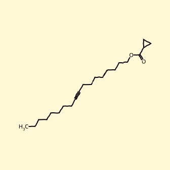 CCCCCCCCC#CCCCCCCCCOC(=O)C1CC1